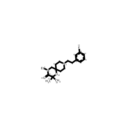 CCN1CC2(CCN(CCc3cccc(F)c3)CC2)OC(C)(C)C1=O